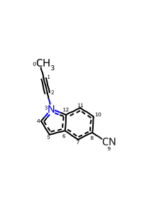 CC#Cn1ccc2cc(C#N)ccc21